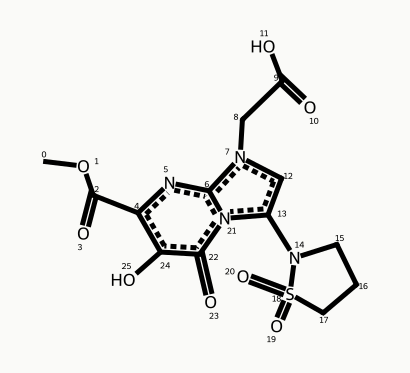 COC(=O)c1nc2n(CC(=O)O)cc(N3CCCS3(=O)=O)n2c(=O)c1O